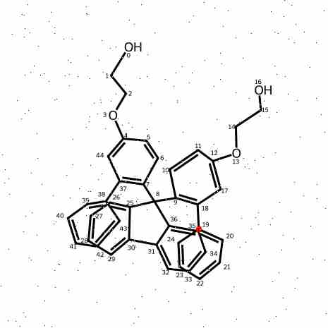 OCCOc1ccc(C2(c3ccc(OCCO)cc3-c3ccccc3)c3ccccc3-c3ccccc32)c(-c2ccccc2)c1